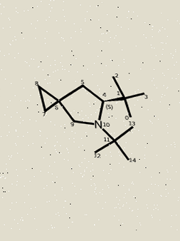 CC(C)(C)[C@@H]1CC2(CC2)CN1C(C)(C)C